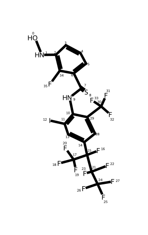 ONc1cccc(C(=S)Nc2c(I)cc(C(F)(C(F)(F)F)C(F)(F)C(F)(F)F)cc2C(F)(F)F)c1F